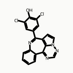 Oc1c(Cl)cc(C2=Nc3ccccc3-c3ncnn4ccc2c34)cc1Cl